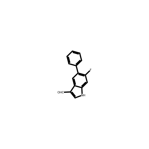 O=Cc1c[nH]c2cc(F)c(-c3ccccc3)cc12